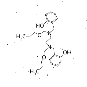 CCCOCN(CCN(COCCC)Cc1ccccc1O)Cc1ccccc1O